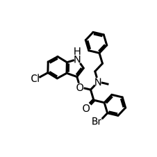 CN(CCc1ccccc1)C(Oc1c[nH]c2ccc(Cl)cc12)C(=O)c1ccccc1Br